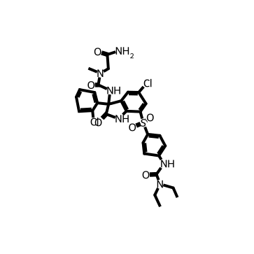 CCN(CC)C(=O)Nc1ccc(S(=O)(=O)c2cc(Cl)cc3c2NC(=O)C3(NC(=O)N(C)CC(N)=O)c2ccccc2Cl)cc1